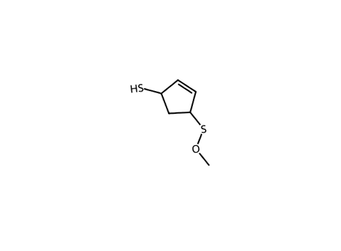 COSC1C=CC(S)C1